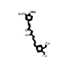 COc1ccc(/C=C/C(=O)/C=C(O)/C=C/C=C/c2ccc(CO)c(CO)c2)cc1OC